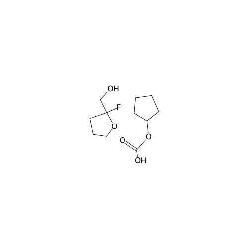 O=C(O)OC1CCCC1.OCC1(F)CCCO1